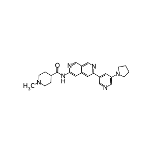 CN1CCC(C(=O)Nc2cc3cc(-c4cncc(N5CCCC5)c4)ncc3cn2)CC1